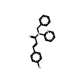 CCc1ccc(/C=C/C(=O)N(Cc2ccccc2)c2ccccn2)cc1